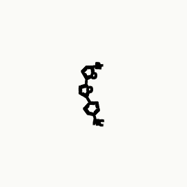 [C-]#[N+]c1ccc(-c2ccc(-c3ccc(Br)o3)o2)cc1